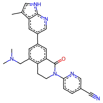 Cc1c[nH]c2ncc(-c3cc(CN(C)C)c4c(c3)C(=O)N(c3ccc(C#N)cn3)CC4)cc12